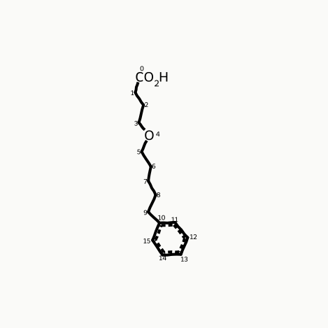 O=C(O)CCCOCCCCCc1ccccc1